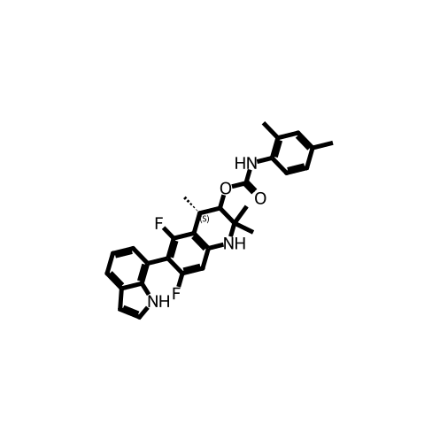 Cc1ccc(NC(=O)OC2[C@@H](C)c3c(cc(F)c(-c4cccc5cc[nH]c45)c3F)NC2(C)C)c(C)c1